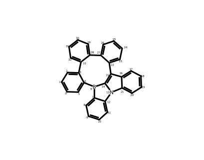 c1ccc2c(c1)B1c3ccccc3-n3c1c(c1ccccc13)-c1ccccc1-c1ccccc1-2